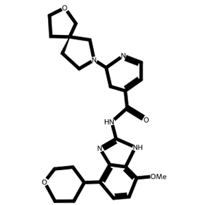 COc1ccc(C2CCOCC2)c2nc(NC(=O)C3=CC=NC(N4CC[C@]5(CCOC5)C4)C3)[nH]c12